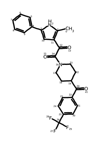 Cc1[nH]c(-c2ccccc2)cc1C(=O)C(=O)N1CCC(C(=O)c2ccc(C(F)(F)F)cc2)CC1